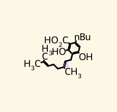 CCCCc1cc(O)c(C/C=C(\C)CCC=C(C)C)c(O)c1C(=O)O